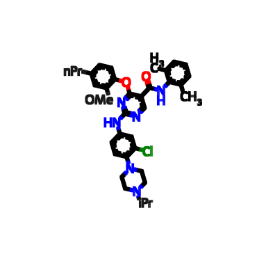 CCCc1ccc(Oc2nc(Nc3ccc(N4CCN(C(C)C)CC4)c(Cl)c3)ncc2C(=O)Nc2c(C)cccc2C)c(OC)c1